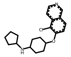 Clc1c(OC2CCC(NC3CCCC3)CC2)ccc2cnccc12